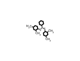 Cc1ccc(SP(Sc2ccc(C)cc2C)c2ccccc2)c(C)c1